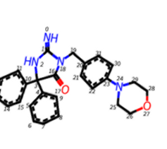 N=C1NC(c2ccccc2)(c2ccccc2)C(=O)N1Cc1ccc(N2CCOCC2)cc1